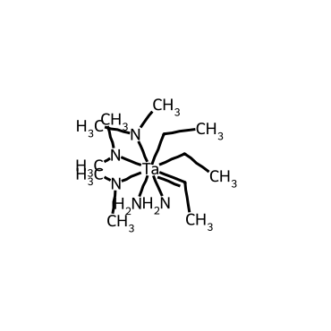 C[CH]=[Ta]([NH2])([NH2])([CH2]C)([CH2]C)([N](C)C)([N](C)C)[N](C)C